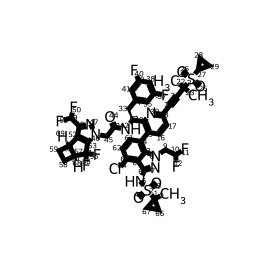 CC1(S(=O)(=O)Nc2nn(CC(F)F)c3c(-c4ccc(C#CC(C)(C)S(=O)(=O)C5CC5)nc4[C@H](Cc4cc(F)cc(F)c4)NC(=O)Cn4nc(C(F)F)c5c4C(F)(F)[C@@H]4CC[C@H]54)ccc(Cl)c23)CC1